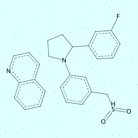 O=[SH](=O)Cc1[c]ccc(N2CCCC2c2cccc(F)c2)c1.c1ccc2ncccc2c1